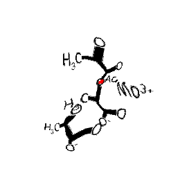 CC(=O)C(=O)[O-].CC(=O)C(=O)[O-].CC(=O)C(=O)[O-].C[C](=O)[Mo+3]